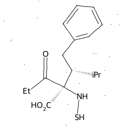 CCC(=O)[C@@](NS)(C(=O)O)[C@H](Cc1ccccc1)C(C)C